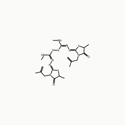 C=C(C)CN1C(=O)C(C)SC1=NN=C(NC)SSC(=NN=C1SC(C)C(=O)N1CC(=C)C)NC